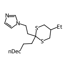 CCCCCCCCCCCCC1(CCn2ccnc2)SCC(CC)CS1